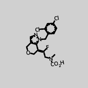 CN(C/C(F)=C1\COCc2cnn(Cc3ccc(Cl)cc3Cl)c21)C(=O)O